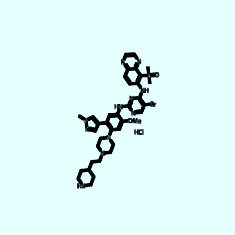 COc1cc(N2CCN(CCC3CCNCC3)CC2)c(-c2cnn(C)c2)cc1Nc1ncc(Br)c(Nc2ccc3nccnc3c2P(C)(C)=O)n1.Cl